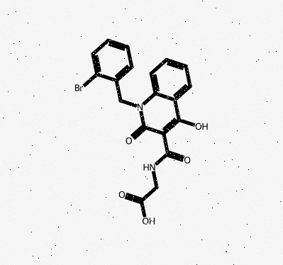 O=C(O)CNC(=O)c1c(O)c2ccccc2n(Cc2ccccc2Br)c1=O